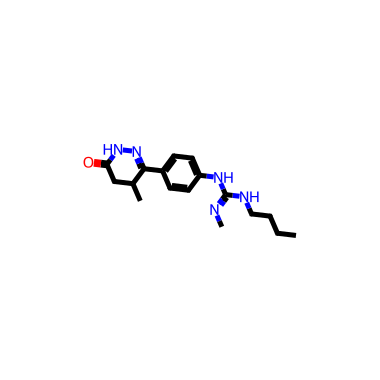 CCCCNC(=NC)Nc1ccc(C2=NNC(=O)CC2C)cc1